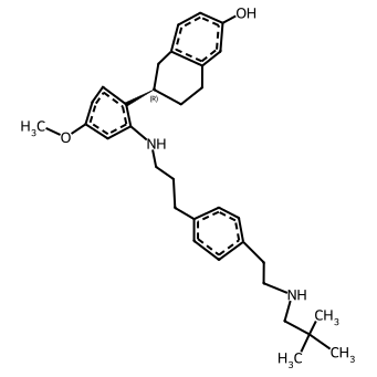 COc1ccc([C@@H]2CCc3cc(O)ccc3C2)c(NCCCc2ccc(CCNCC(C)(C)C)cc2)c1